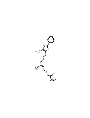 COC(=O)CSCC=C(C)COCCc1nc(-c2ccccc2)oc1C